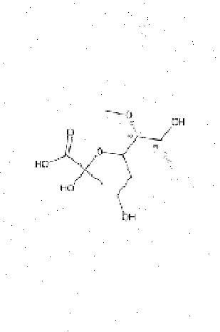 CO[C@@H](C(CCO)OC(C)(O)C(=O)O)[C@@H](C)O